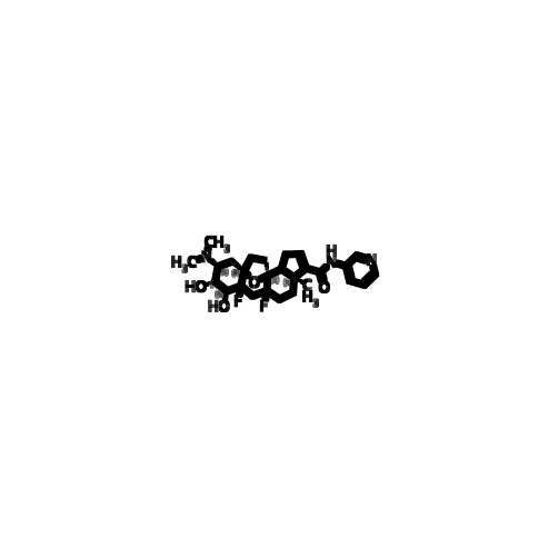 CN(C)[C@H]1C[C@@]23CC[C@]4(O2)C2CC=C(C(=O)Nc5cccnc5)[C@@]2(C)CCC4(F)CC3(F)[C@@H](O)[C@@H]1O